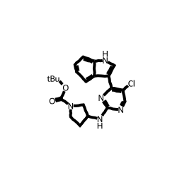 CC(C)(C)OC(=O)N1CCC(Nc2ncc(Cl)c(-c3c[nH]c4ccccc34)n2)C1